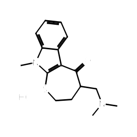 CN(C)CC1CCSc2c(c3ccccc3n2C)C1=O.Cl